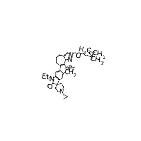 CCCC1=C(c2cc3c(cc2C)C2(CCN(C4CC4)CC2)C(=O)N3CC)CCCc2cn(COCC[Si](C)(C)C)nc21